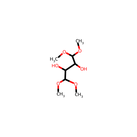 COC(OC)C(O)C(O)C(OC)OC